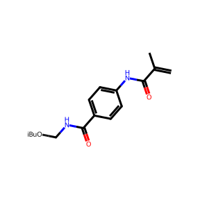 C=C(C)C(=O)Nc1ccc(C(=O)NCOCC(C)C)cc1